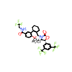 COc1ccc(C(=O)NCC(F)(F)F)cc1C1=C(CN2C(=O)O[C@H](c3cc(C(F)(F)F)cc(C(F)(F)F)c3)[C@@H]2C)CCCC1